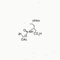 CCCCCC[C@@H](C)C[C@H](CNC(=O)O[C@H](OC(C)=O)C(C)C)CC(=O)O